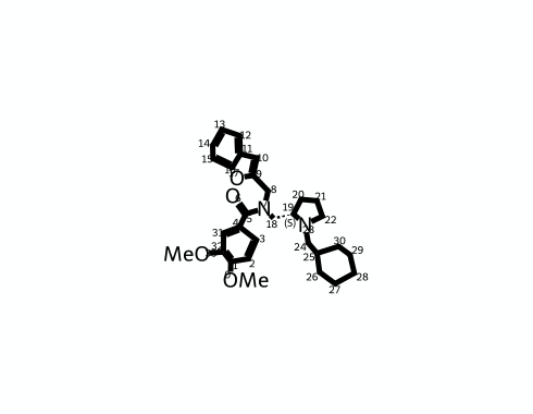 COc1ccc(C(=O)N(Cc2cc3ccccc3o2)C[C@@H]2CCCN2CC2CCCCC2)cc1OC